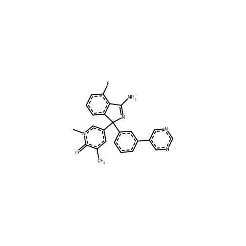 Cn1cc(C2(c3cccc(-c4cncnc4)c3)N=C(N)c3c(F)cccc32)cc(C(F)(F)F)c1=O